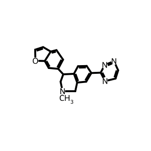 CN1Cc2cc(-c3nccnn3)ccc2C(c2ccc3ccoc3c2)C1